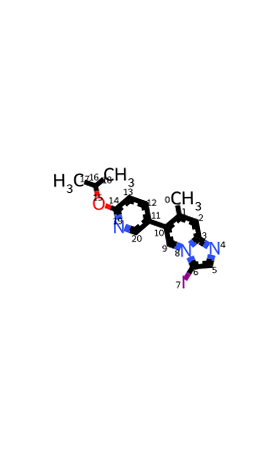 Cc1cc2ncc(I)n2cc1-c1ccc(OC(C)C)nc1